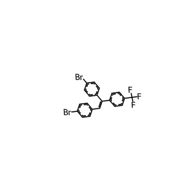 FC(F)(F)c1ccc(/C(=C/c2ccc(Br)cc2)c2ccc(Br)cc2)cc1